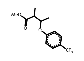 COC(=O)C(C)C(C)Oc1ccc(C(F)(F)F)cc1